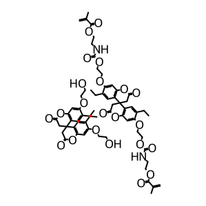 C=C(C)C(=O)OCCNC(=O)OCCOc1cc2c(cc1CC)C1(CC(=O)O2)CC(=O)Oc2cc(OCCOC(=O)NCCOC(=O)C(=C)C)c(CC)cc21.CCc1cc2c(cc1OCCO)OC(=O)CC21CC(=O)Oc2cc(OCCO)c(CC)cc21